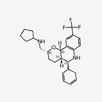 FC(F)(F)c1ccc2c(c1)[C@H]1O[C@@H](CNC3CCCC3)CC[C@H]1[C@H](C1C=CC=CC1)N2